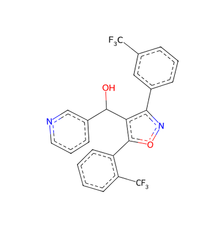 OC(c1cccnc1)c1c(-c2cccc(C(F)(F)F)c2)noc1-c1ccccc1C(F)(F)F